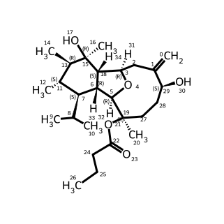 C=C1C[C@H]2O[C@H]([C@@H]3[C@@H](C(C)C)[C@H](C)[C@@H](C)[C@@](C)(O)[C@@H]32)[C@](C)(OC(=O)CCC)CC[C@@H]1O